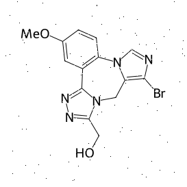 COc1ccc2c(c1)-c1nnc(CO)n1Cc1c(Br)ncn1-2